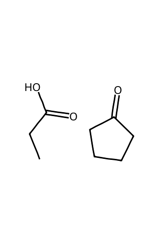 CCC(=O)O.O=C1CCCC1